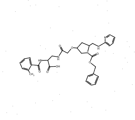 Cc1ccccc1C(=O)NC(CNC(=O)COC1CC(CNc2ccccn2)N(C(=O)OCc2ccccc2)C1)C(=O)O